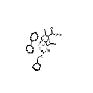 COC(=O)C1=C(C)C[S+]([O-])[C@@H]2[C@H](NC(=O)OCc3ccccc3)C(=O)N12.c1ccc(-c2ccccc2)cc1